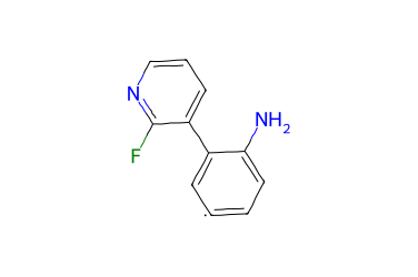 Nc1cc[c]cc1-c1cccnc1F